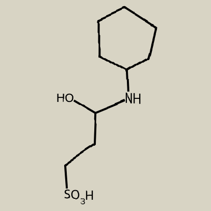 O=S(=O)(O)CCC(O)NC1CCCCC1